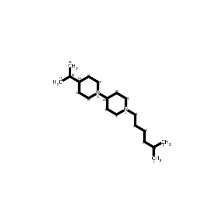 CC(C)CCCCN1CCC(N2CCC(C(C)C)CC2)CC1